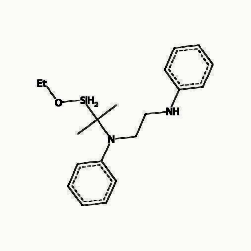 CCO[SiH2]C(C)(C)N(CCNc1ccccc1)c1ccccc1